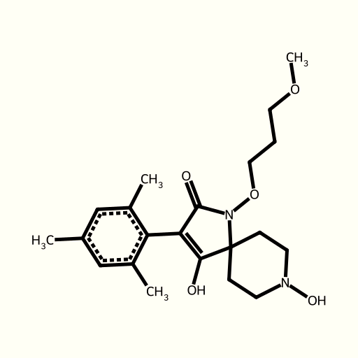 COCCCON1C(=O)C(c2c(C)cc(C)cc2C)=C(O)C12CCN(O)CC2